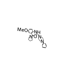 COc1ccc(NCCN2CCN(c3ccccc3)CC2)c(C(=O)N2CCCC2)c1